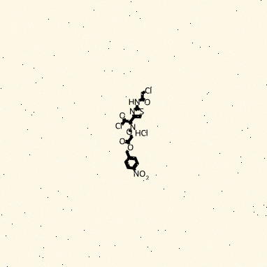 Cl.O=C(CCl)Nc1nc(C(=NOCC(=O)OCc2ccc([N+](=O)[O-])cc2)C(=O)Cl)cs1